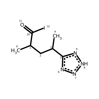 CC(CC(C)c1nn[nH]n1)C(=O)I